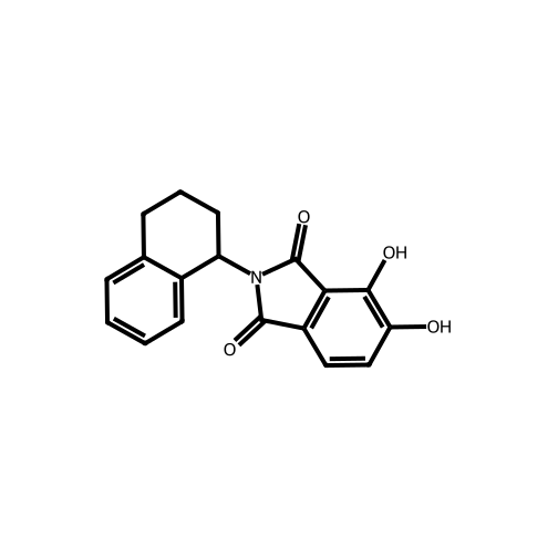 O=C1c2ccc(O)c(O)c2C(=O)N1C1CCCc2ccccc21